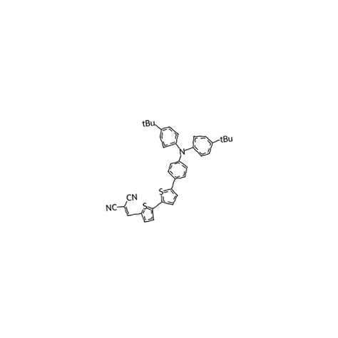 CC(C)(C)c1ccc(N(c2ccc(-c3ccc(-c4ccc(C=C(C#N)C#N)s4)s3)cc2)c2ccc(C(C)(C)C)cc2)cc1